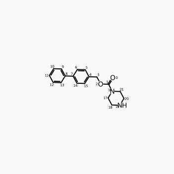 O=C(OCc1ccc(-c2ccccc2)cc1)N1CCNCC1